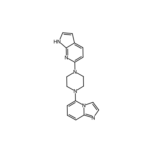 c1cc(N2CCN(c3ccc4cc[nH]c4n3)CC2)n2ccnc2c1